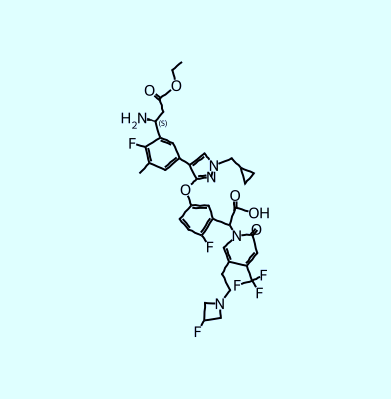 CCOC(=O)C[C@H](N)c1cc(-c2cn(CC3CC3)nc2Oc2ccc(F)c(C(C(=O)O)n3cc(CCN4CC(F)C4)c(C(F)(F)F)cc3=O)c2)cc(C)c1F